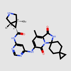 Cc1cc(Nc2cc(NC(=O)[C@@H]3[C@@H]4CNC[C@@]34C(C)(C)C)ncn2)c(=O)n2c1C(=O)NC21CCC2(CC2)CC1